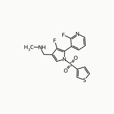 CNCc1cn(S(=O)(=O)c2ccsc2)c(-c2cccnc2F)c1F